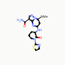 CNc1cc(Nc2cccn(-c3nccs3)c2=O)nc2c(C(N)=O)cnn12